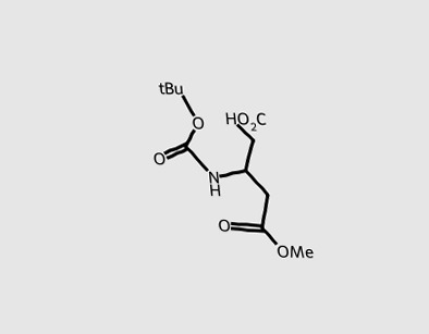 COC(=O)CC(CC(=O)O)NC(=O)OC(C)(C)C